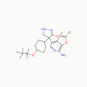 COC1=NNCC1(c1cnc(N)c2oc(Cl)cc12)C1CCC(O[Si](C)(C)C(C)(C)C)CC1